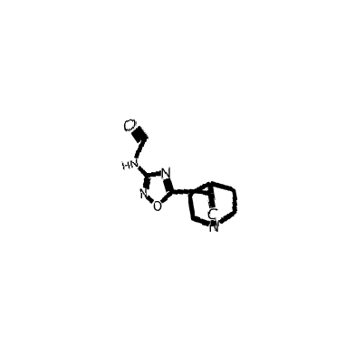 O=CNc1noc(C2CN3CCC2CC3)n1